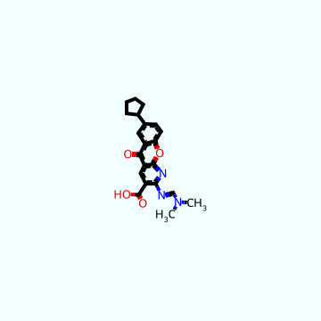 CN(C)C=Nc1nc2oc3ccc(C4CCCC4)cc3c(=O)c2cc1C(=O)O